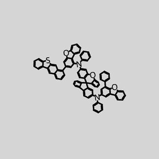 c1ccc(-c2cc(N(c3ccccc3)c3ccc4c(c3)C3(c5ccccc5Oc5cc(N(c6ccccc6)c6cc(-c7cccc8cc9c(cc78)sc7ccccc79)cc7oc8ccccc8c67)ccc53)c3ccccc3-4)cc3c2oc2ccccc23)cc1